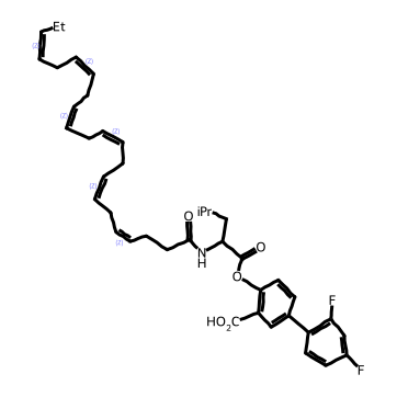 CC/C=C\C/C=C\C/C=C\C/C=C\C/C=C\C/C=C\CCC(=O)NC(CC(C)C)C(=O)Oc1ccc(-c2ccc(F)cc2F)cc1C(=O)O